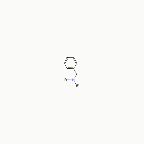 CC(C)N(Cc1cc[c]cc1)C(C)C